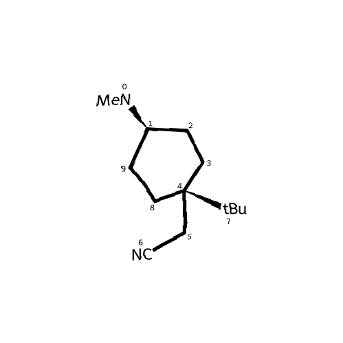 CN[C@H]1CC[C@@](CC#N)(C(C)(C)C)CC1